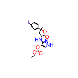 CCOC(=O)Oc1c[nH]nc1NC1CC(C)(c2ccc(I)cc2)OC1=O